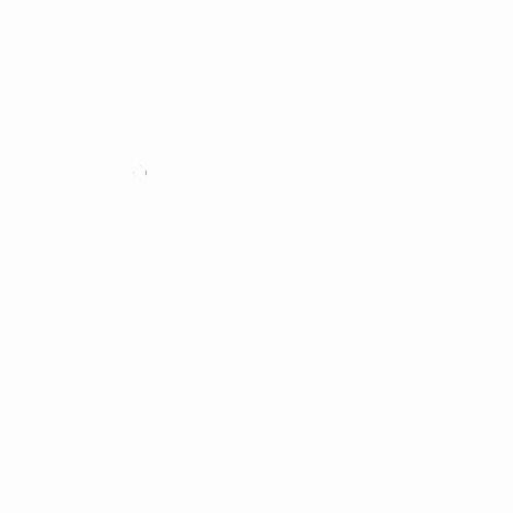 CC1C2C=CC=CC2C2C=CC(CC3CCCO3)=CC12